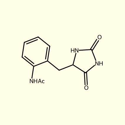 CC(=O)Nc1ccccc1CC1NC(=O)NC1=O